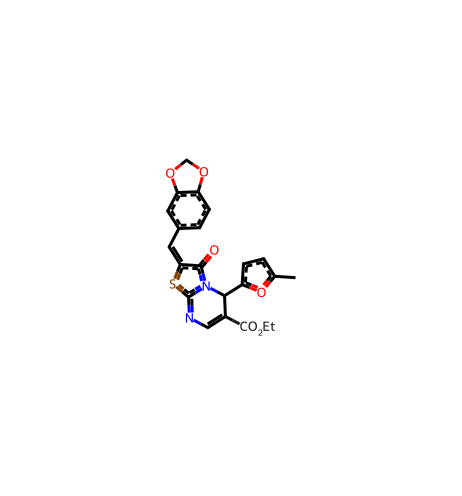 CCOC(=O)C1=CN=c2s/c(=C/c3ccc4c(c3)OCO4)c(=O)n2C1c1ccc(C)o1